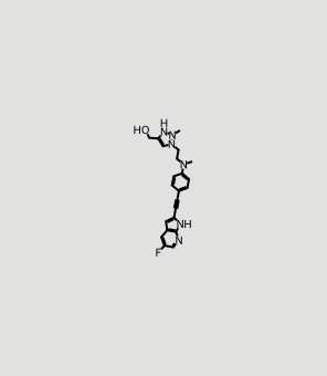 CN(CCN1C=C(CO)NN1C)c1ccc(C#Cc2cc3cc(F)cnc3[nH]2)cc1